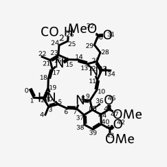 C=Cc1c(C)c2cc3nc(cc4[nH]c(cc5nc(cc1[nH]2)C(C)=C5CCC(=O)O)c(CCC(=O)OC)c4C)[C@@]1(C)C3=CC=C(C(=O)OC)C1C(=O)OC